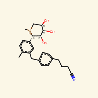 Cc1ccc([C@H]2[C@H](O)[C@H](O)[C@H](O)C[SH]2C)cc1Cc1ccc(CCCC#N)cc1